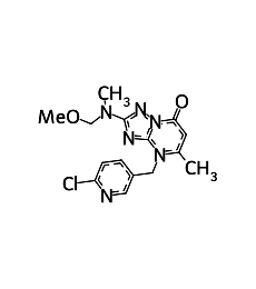 COCN(C)c1nc2n(Cc3ccc(Cl)nc3)c(C)cc(=O)n2n1